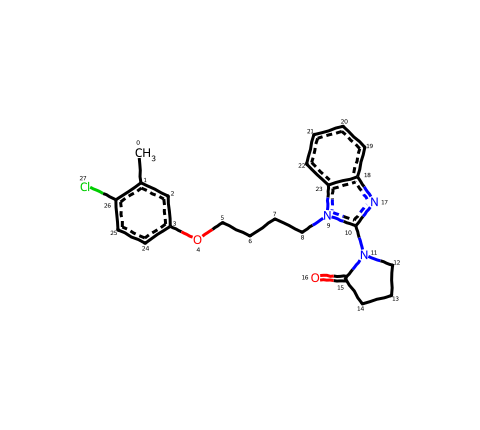 Cc1cc(OCCCCn2c(N3CCCC3=O)nc3ccccc32)ccc1Cl